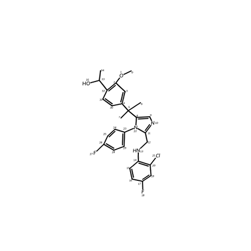 COc1cc(C(C)(C)c2cnc(CNc3ccc(F)cc3Cl)n2-c2ccc(F)cc2)ccc1C(C)O